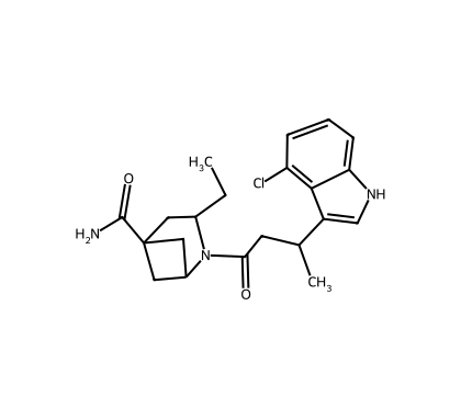 CCC1CC2(C(N)=O)CC(C2)N1C(=O)CC(C)c1c[nH]c2cccc(Cl)c12